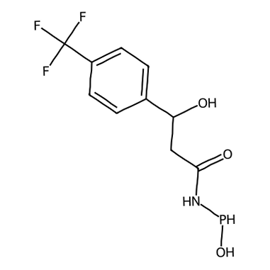 O=C(CC(O)c1ccc(C(F)(F)F)cc1)NPO